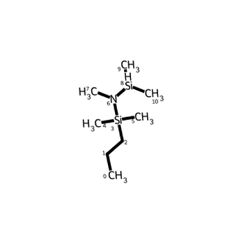 CCC[Si](C)(C)N(C)[SiH](C)C